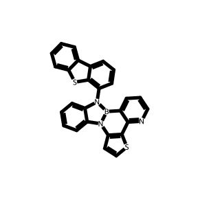 c1cnc2c(c1)B1N(c3ccccc3N1c1cccc3c1sc1ccccc13)c1ccsc1-2